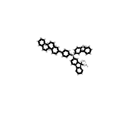 CC1(C)c2ccccc2-c2ccc(N(c3ccc(-c4ccc5c(ccc6c7ccccc7ccc56)c4)cc3)c3ccc4sc5ccccc5c4c3)cc21